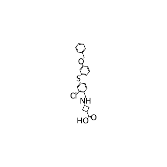 O=C(O)C1CC(NCc2ccc(Sc3cccc(OCc4ccccc4)c3)cc2Cl)C1